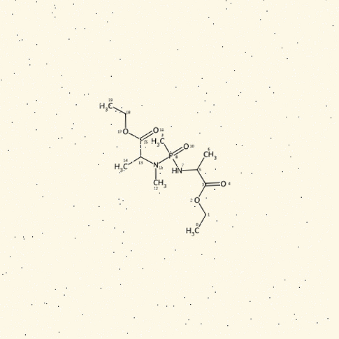 CCOC(=O)C(C)NP(C)(=O)N(C)C(C)C(=O)OCC